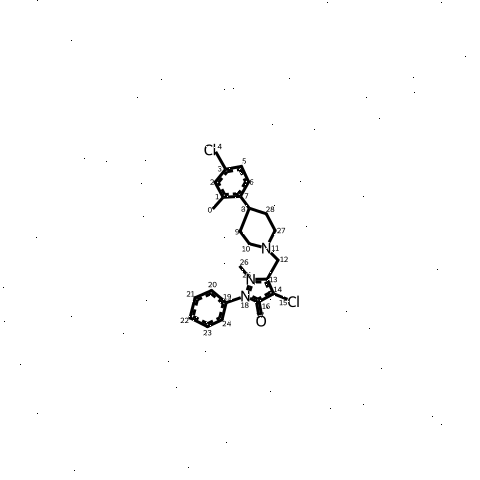 Cc1cc(Cl)ccc1C1CCN(Cc2c(Cl)c(=O)n(-c3ccccc3)n2C)CC1